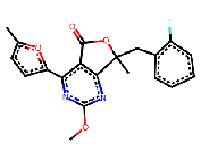 COc1nc(-c2ccc(C)o2)c2c(n1)C(C)(Cc1ccccc1F)OC2=O